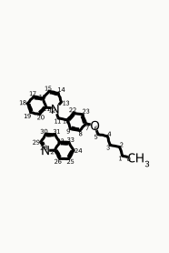 CCCCCCOc1ccc(CN2CC=Cc3ccccc32)cc1.c1ccc2ncccc2c1